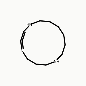 C1=CNCCCCCCNCCCN=1